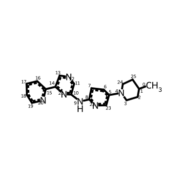 CC1CCN(c2ccc(Nc3cncc(-c4ccccn4)n3)nc2)CC1